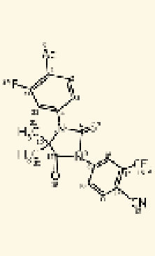 CC(=O)c1ccc(N2C(=S)N(c3ccc(C#N)c(C(F)(F)F)c3)C(=O)C2(C)C)cc1F